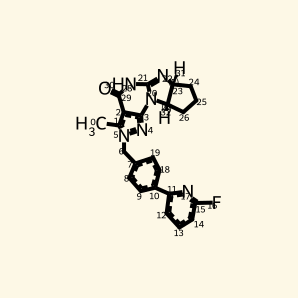 Cc1c2c(nn1Cc1ccc(-c3cccc(F)n3)cc1)N1C(=N[C@@H]3CCC[C@@H]31)NC2=O